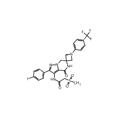 CS(=O)(=O)CC(=O)Nc1c(-c2ccc(F)cc2)nn2c1C(=O)NC1(CN(c3ccc(C(F)(F)F)cc3)C1)C2